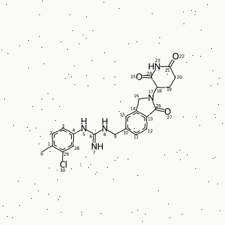 Cc1ccc(NC(=N)NCc2ccc3c(c2)CN(C2CCC(=O)NC2=O)C3=O)cc1Cl